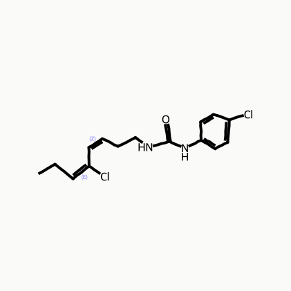 CC/C=C(Cl)\C=C/CCNC(=O)Nc1ccc(Cl)cc1